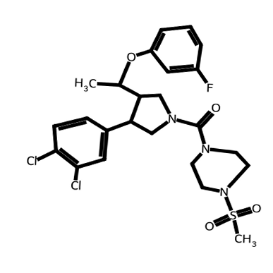 CC(Oc1cccc(F)c1)C1CN(C(=O)N2CCN(S(C)(=O)=O)CC2)CC1c1ccc(Cl)c(Cl)c1